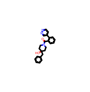 O=C(c1ccccc1-c1ccnnc1)N1CCC(O)(Cc2ccccc2)CC1